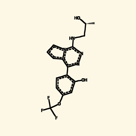 C[C@@H](O)CNc1nnc(-c2ccc(OC(F)(F)F)cc2O)c2cccn12